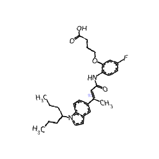 CCCC(CCC)n1ccc2cc(/C(C)=C/C(=O)Nc3ccc(F)cc3OCCCC(=O)O)ccc21